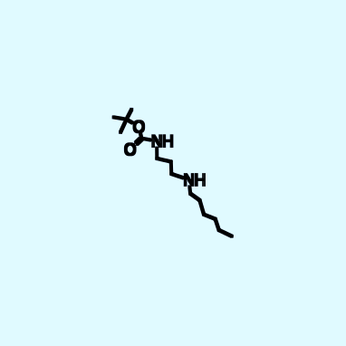 CCCCCCNCCCNC(=O)OC(C)(C)C